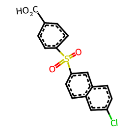 O=C(O)c1ccc(S(=O)(=O)c2ccc3cc(Cl)ccc3c2)cc1